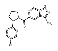 Cc1n[nH]c2cnc(C(=O)N3CCC[C@@H]3c3ccc(Cl)cc3)cc12